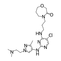 Cc1nn(CCN(C)C)cc1Nc1ncc(Cl)c(NCCCN2CCCOCC2=O)n1